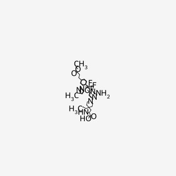 CCOC(=O)CCc1ccc([C@@H](Oc2cc(N3CCC4(CC3)CC(C(=O)O)NC4CC)nc(N)n2)C(F)(F)F)c(-n2ccc(C)n2)c1